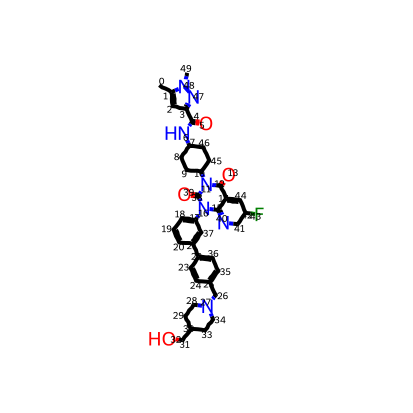 Cc1cc(C(=O)NC2CCC(n3c(=O)c4c(n(-c5cccc(-c6ccc(CN7CCC(CO)CC7)cc6)c5)c3=O)=NCC(F)C=4)CC2)nn1C